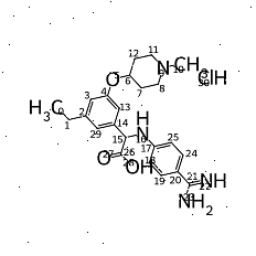 CCc1cc(OC2CCN(C)CC2)cc(C(Nc2ccc(C(=N)N)cc2)C(=O)O)c1.Cl